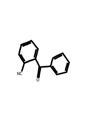 N#Cc1ccccc1C(=O)c1ccccc1